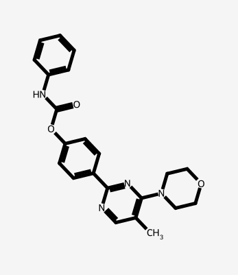 Cc1cnc(-c2ccc(OC(=O)Nc3ccccc3)cc2)nc1N1CCOCC1